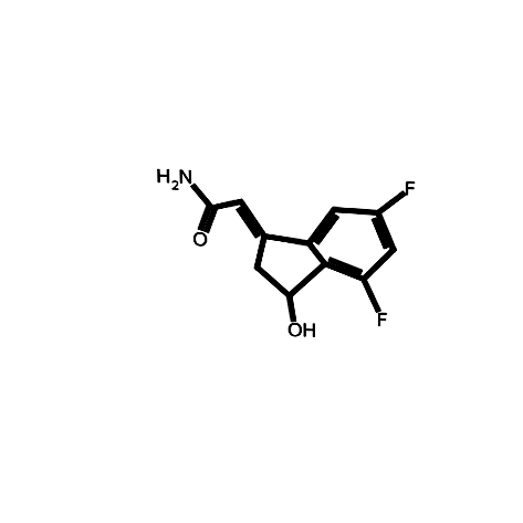 NC(=O)C=C1CC(O)c2c(F)cc(F)cc21